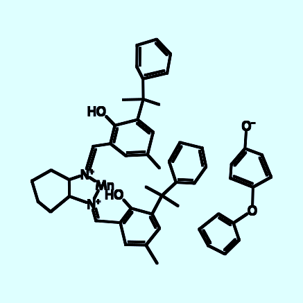 Cc1cc(C=[N+]2[Mn][N+](=Cc3cc(C)cc(C(C)(C)c4ccccc4)c3O)C3CCCCC32)c(O)c(C(C)(C)c2ccccc2)c1.[O-]c1ccc(Oc2ccccc2)cc1